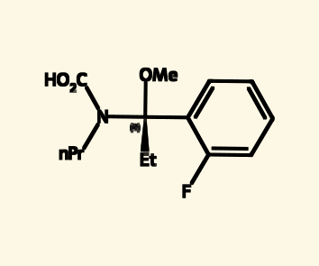 CCCN(C(=O)O)[C@](CC)(OC)c1ccccc1F